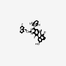 CCc1c(F)ccc2cc(O)cc(-c3c(F)cc4c(N5C[C@H]6CC[C@@H](C5)N6)nc(OC[C@@]56CCCN5C[C@H](F)C6)nc4c3F)c12